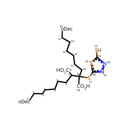 CCCCCCCCCCCCCCCCC(C(=O)O)C(CCCCCCCCCCCCCCCC)(Sc1nnc(S)s1)C(=O)O